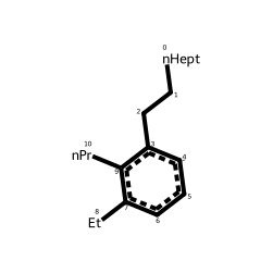 CCCCCCCCCc1[c]ccc(CC)c1CCC